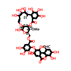 CC\C1=C(O)/C(O)=C(O)\C=C\O[C@H]2C(O)O[C@H](COC(=O)c3cc(O)c(O)c(O)c3Oc3c(O)cc4c(=O)oc5c(O)c(O)cc(C=O)c5c4c3O)[C@@H](OC)[C@@H]2OC(=O)c2cc(O)c(O)c(O)c21